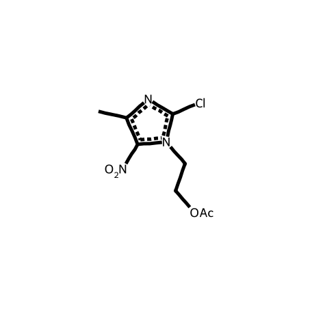 CC(=O)OCCn1c(Cl)nc(C)c1[N+](=O)[O-]